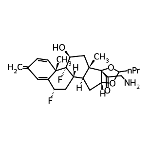 C=C1C=C[C@@]2(C)C(=C1)[C@@H](F)C[C@H]1[C@@H]3C[C@H]4OC(CCC)O[C@@]4(C(=O)CN)[C@@]3(C)C[C@H](O)[C@@]12F